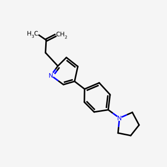 C=C(C)Cc1ccc(-c2ccc(N3CCCC3)cc2)cn1